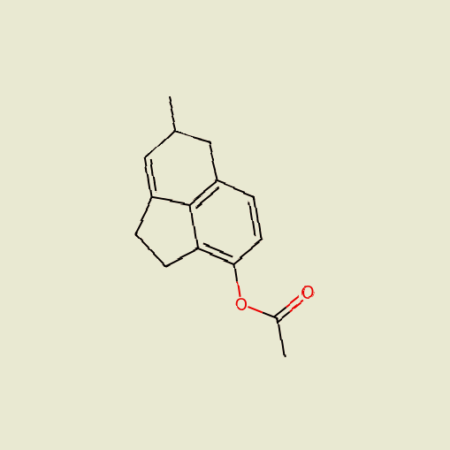 CC(=O)Oc1ccc2c3c1CCC3=CC(C)C2